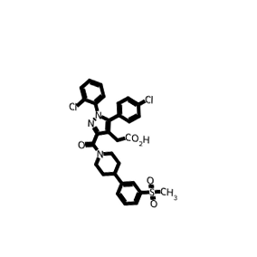 CS(=O)(=O)c1cccc(C2CCN(C(=O)c3nn(-c4ccccc4Cl)c(-c4ccc(Cl)cc4)c3CC(=O)O)CC2)c1